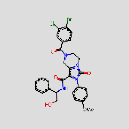 COc1ccc(-n2c(C(=O)NC(CO)c3ccccc3)c3n(c2=O)CCN(C(=O)c2ccc(Br)c(Cl)c2)C3)cc1